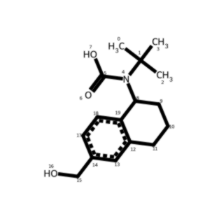 CC(C)(C)N(C(=O)O)C1CCCc2cc(CO)ccc21